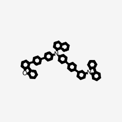 c1cc(-c2ccc(-c3ccc(N(c4ccc(-c5ccc(-c6cccc7oc8ccccc8c67)cc5)cc4)c4cccc5ccccc45)cc3)cc2)cc(-n2c3ccccc3c3ccccc32)c1